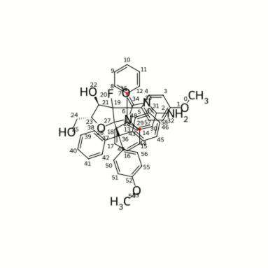 COc1ccc(C(c2ccccc2)(c2ccccc2)C2(F)[C@H](O)[C@@H](CO)O[C@]2(n2ccc(N)nc2=O)C(c2ccccc2)(c2ccccc2)c2ccc(OC)cc2)cc1